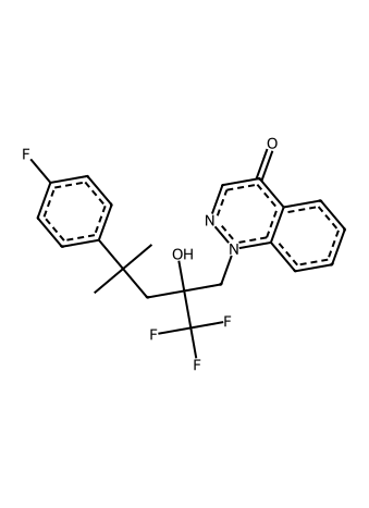 CC(C)(CC(O)(Cn1ncc(=O)c2ccccc21)C(F)(F)F)c1ccc(F)cc1